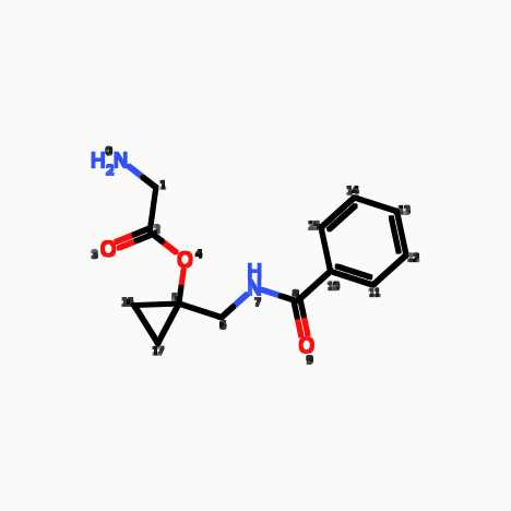 NCC(=O)OC1(CNC(=O)c2ccccc2)CC1